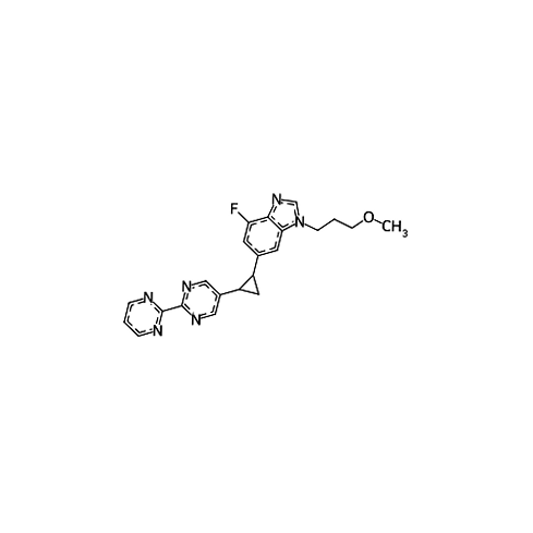 COCCCn1cnc2c(F)cc(C3CC3c3cnc(-c4ncccn4)nc3)cc21